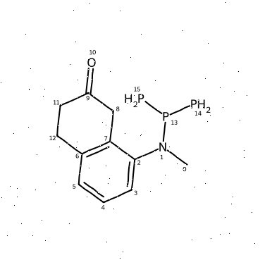 CN(c1cccc2c1CC(=O)CC2)P(P)P